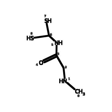 CNCC(=O)NC(S)S